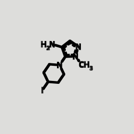 Cn1ncc(N)c1N1CCC(I)CC1